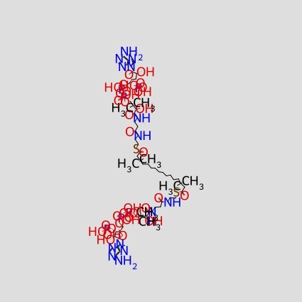 CC(C)(CCCCCCCCCCC(C)(C)CC(=O)SCCNC(=O)CCNC(=O)[C@H](O)C(C)(C)COP(=O)(O)OP(=O)(O)OC[C@H]1O[C@@H](n2cnc3c(N)ncnc32)[C@H](O)[C@@H]1OP(=O)(O)O)CC(=O)SCCNC(=O)CCNC(=O)[C@H](O)C(C)(C)COP(=O)(O)OP(=O)(O)OC[C@H]1O[C@@H](n2cnc3c(N)ncnc32)[C@H](O)[C@@H]1OP(=O)(O)O